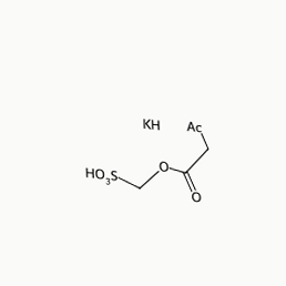 CC(=O)CC(=O)OCS(=O)(=O)O.[KH]